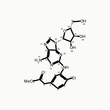 CCc1ccc(CC(=O)OC)cc1Nc1nc(N)c2ncn([C@@H]3O[C@H](CO)[C@@H](O)[C@H]3O)c2n1